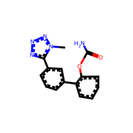 Cn1nnnc1-c1cccc(-c2ccccc2OC(N)=O)c1